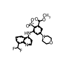 COC(=O)c1cc(N2CCOCC2)cc(Nc2ccnc3c(C(F)F)cccc23)c1[N+](=O)[O-]